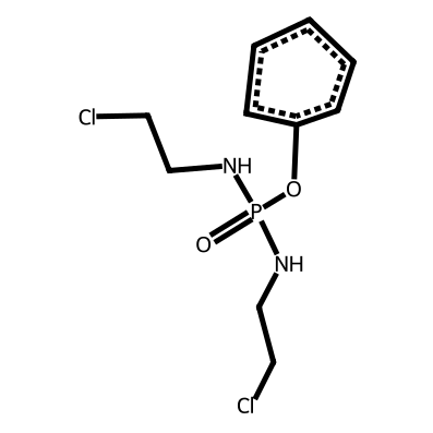 O=P(NCCCl)(NCCCl)Oc1ccccc1